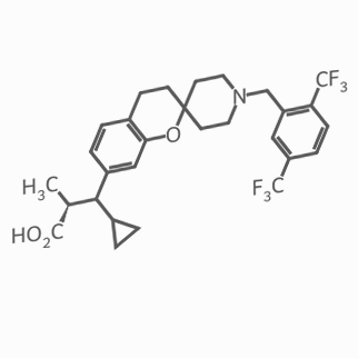 C[C@H](C(=O)O)C(c1ccc2c(c1)OC1(CC2)CCN(Cc2cc(C(F)(F)F)ccc2C(F)(F)F)CC1)C1CC1